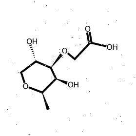 C[C@H]1O[CH][C@H](O)[C@@H](OCC(=O)O)[C@H]1O